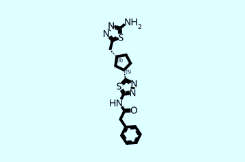 Nc1nnc(C[C@@H]2CC[C@H](c3nnc(NC(=O)Cc4ccccc4)s3)C2)s1